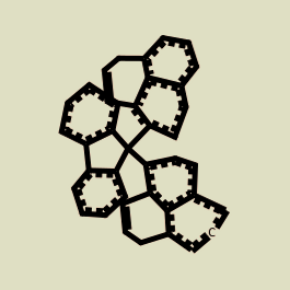 C1=Cc2c(C3(c4ccc5cccc6c5c4C=CC6)c4ccccc4-c4ccccc43)ccc3cccc(c23)C1